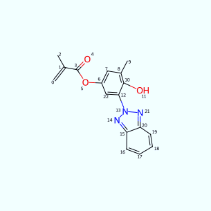 C=C(C)C(=O)Oc1cc(C)c(O)c(-n2nc3ccccc3n2)c1